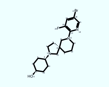 O[C@H]1CC[C@@H](N2CC[C@]3(CCCN(c4ncc(Br)cc4F)C3)C2)CC1